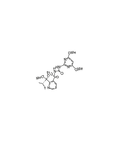 CCOC(OC)(c1ncccc1S(=O)(=O)NC(=O)Nc1nc(OC)cc(OC)n1)C(C)F